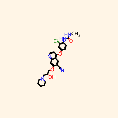 CNC(=O)Nc1ccc(Oc2ccnc3cc(OC[C@@H](O)CN4CCCCC4)c(C#N)cc23)cc1Cl